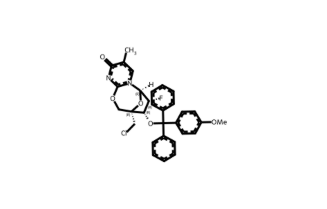 COc1ccc(C(O[C@H]2[C@@H](F)[C@H]3O[C@]2(CCl)COc2nc(=O)c(C)cn23)(c2ccccc2)c2ccccc2)cc1